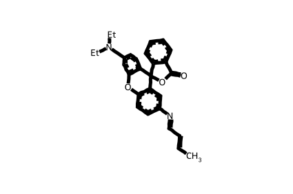 CC=CC=Nc1ccc2c(c1)C1(OC(=O)c3ccccc31)c1ccc(N(CC)CC)cc1O2